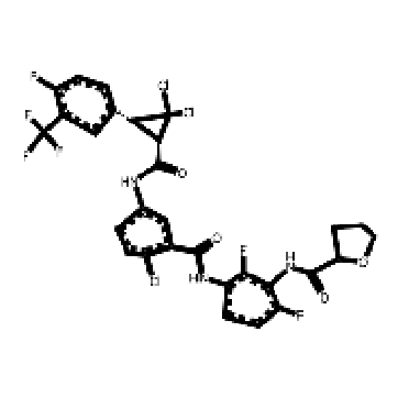 O=C(Nc1ccc(F)c(NC(=O)C2CCCO2)c1F)c1cc(NC(=O)[C@H]2[C@H](c3ccc(F)c(C(F)(F)F)c3)C2(Cl)Cl)ccc1Cl